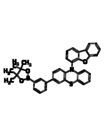 CC1(C)OB(c2cccc(-c3ccc4c(c3)Sc3ccccc3N4c3cccc4c3oc3ccccc34)c2)OC1(C)C